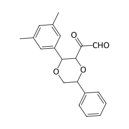 Cc1cc(C)cc(C2OCC(c3ccccc3)OC2C(=O)C=O)c1